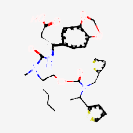 CCCC[C@@H](COC(=O)N(Cc1cccs1)C(C)c1cccs1)N(C)C(=O)N[C@@H](CC(=O)O)c1ccc2c(c1)OCO2